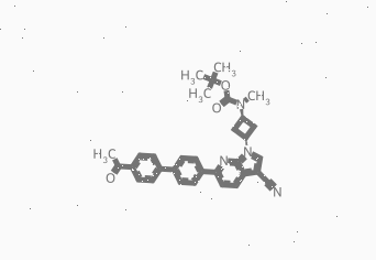 CC(=O)c1ccc(-c2ccc(-c3ccc4c(C#N)cn([C@H]5C[C@H](N(C)C(=O)OC(C)(C)C)C5)c4n3)cc2)cc1